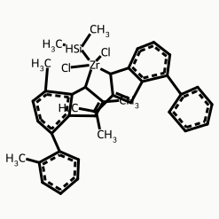 CC1=Cc2c(-c3ccccc3C)ccc(C)c2[CH]1[Zr]([Cl])([Cl])([CH]1C(C(C)C)=Cc2c(-c3ccccc3)cccc21)[SiH](C)C